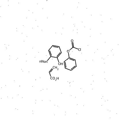 C=CC(=O)O.CCCCCCCCCc1ccccc1O.O=C(Cl)Oc1ccccc1